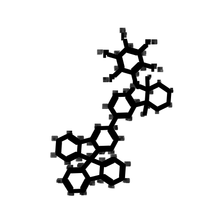 CC12CCCCC1(C)N(c1c(F)c(F)c(F)c(F)c1F)c1ccc(-c3ccc4c(c3)-c3ccccc3C43c4ccccc4-c4ccccc43)cc12